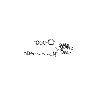 CCCCCCCCCCCCCCCC[N+](C)(C)CC(C)[Si](OC)(OC)OC.O=C([O-])c1ccccc1